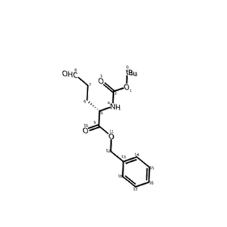 CC(C)(C)OC(=O)N[C@@H](CCC=O)C(=O)OCc1ccccc1